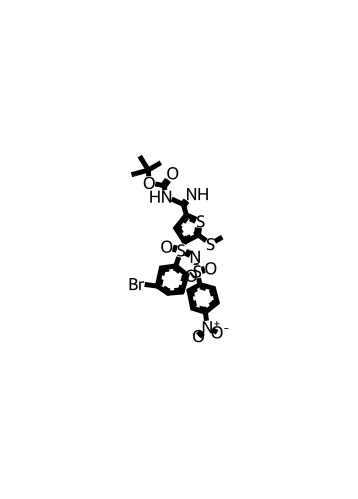 CSc1sc(C(=N)NC(=O)OC(C)(C)C)cc1S(=O)(=NS(=O)(=O)c1ccc([N+](=O)[O-])cc1)c1cccc(Br)c1